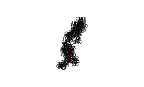 C1=Cc2c(cccc2-c2ccccc2-c2ccccc2N(c2ccc(-c3cccc4c3sc3ccc(-c5cccc(N6c7ccccc7C7(c8ccccc8-c8c(N(c9ccc(-c%10ccc%11oc%12ccccc%12c%11c%10)cc9)c9ccccc9-c9ccccc9C9=C%10C=CCCC%10CC=C9)cccc87)c7ccccc76)c5)cc34)cc2)c2cccc3c2-c2ccccc2C32c3ccccc3N(c3ccccc3)c3ccccc32)CC1